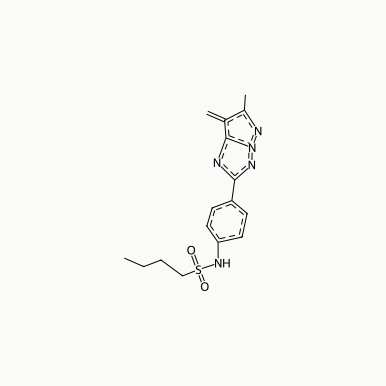 C=c1c(C)nn2nc(-c3ccc(NS(=O)(=O)CCCC)cc3)nc12